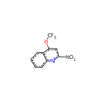 O=[N+]([O-])c1cc(OC(F)(F)F)c2ccccc2n1